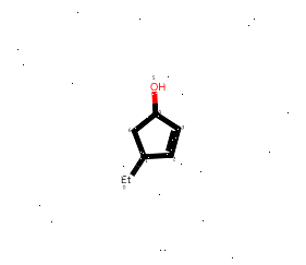 CCC1C=CC(O)C1